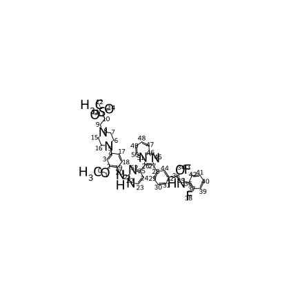 COc1cc(N2CCN(CCS(C)(=O)=O)CC2)ccc1Nc1nccc(-c2c(-c3cccc(C(=O)Nc4c(F)cccc4F)c3)nc3ccccn23)n1